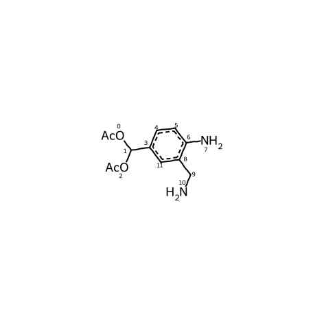 CC(=O)OC(OC(C)=O)c1ccc(N)c(CN)c1